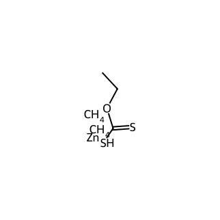 C.C.CCOC(=S)S.[Zn]